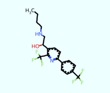 CCCCNC[C@H](O)c1ccc(-c2ccc(C(F)(F)F)cc2)nc1C(F)(F)F